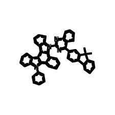 CC1(C)c2ccccc2-c2ccc(-c3nc(-n4c5ccccc5c5c6c7ccccc7n(-c7ccccc7)c6c6ccccc6c54)nc4ccccc34)cc21